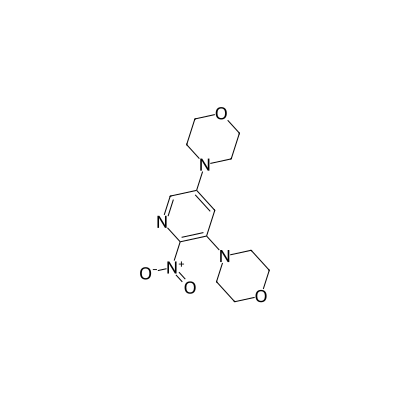 O=[N+]([O-])c1ncc(N2CCOCC2)cc1N1CCOCC1